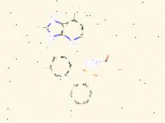 CCCCOC(=O)NS(=O)(=O)c1ccc(CCC)cc1-c1ccc(Cn2c(CC)nc3c(C)cc(C)nc32)c(F)c1